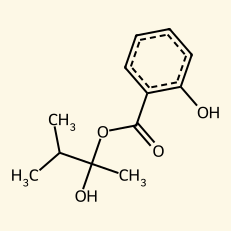 CC(C)C(C)(O)OC(=O)c1ccccc1O